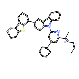 C/C=C\C=C(/C)c1cc(-c2ccccc2)cc(-n2c3ccccc3c3cc(-c4cccc5c4sc4ccccc45)ccc32)n1